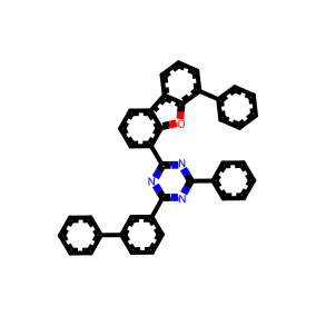 c1ccc(-c2cccc(-c3nc(-c4ccccc4)nc(-c4cccc5c4oc4c(-c6ccccc6)cccc45)n3)c2)cc1